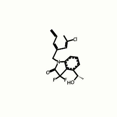 C=C/C=C(\C=C(/C)Cl)CN1C(=O)C(F)(F)c2c([C@H](C)O)cccc21